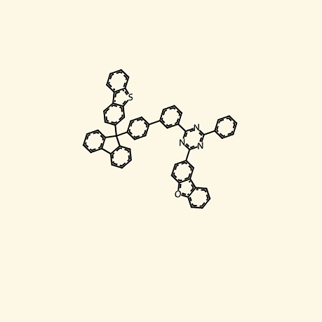 c1ccc(-c2nc(-c3cccc(-c4ccc(C5(c6ccc7c(c6)sc6ccccc67)c6ccccc6-c6ccccc65)cc4)c3)nc(-c3ccc4oc5ccccc5c4c3)n2)cc1